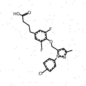 Cc1cc(COc2c(F)cc(CCCC(=O)O)cc2F)n(-c2ccc(Cl)cc2)n1